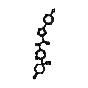 N#CC1(c2ccc(NC(=O)c3ccn(-c4ccc(Cl)cc4)c3)cn2)CCC(=O)CC1